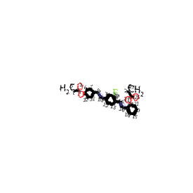 C=CC(=O)Oc1ccc(/C=C/c2ccc(/C=C/c3ccccc3OC(=O)C=C)c(F)c2)cc1